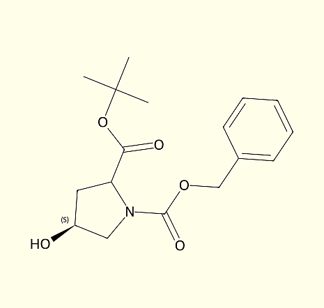 CC(C)(C)OC(=O)C1C[C@H](O)CN1C(=O)OCc1ccccc1